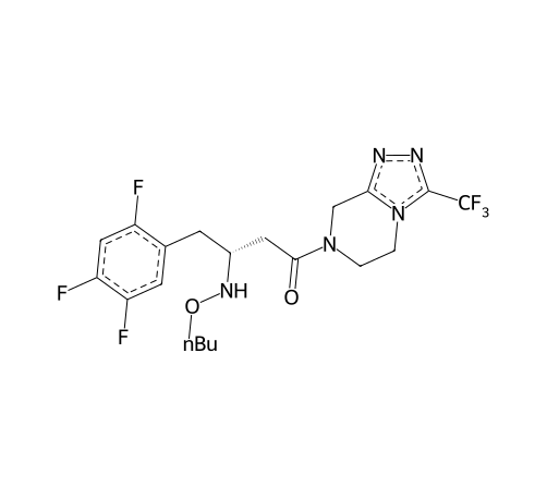 CCCCON[C@@H](CC(=O)N1CCn2c(nnc2C(F)(F)F)C1)Cc1cc(F)c(F)cc1F